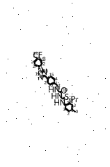 Cc1ccc(NC(=S)NC(=O)NCc2ccc(-c3ncn(-c4ccc(C(F)(F)F)cc4)n3)cc2)c(C(C)C)c1